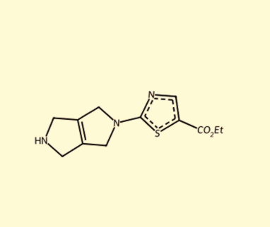 CCOC(=O)c1cnc(N2CC3=C(CNC3)C2)s1